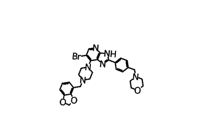 Brc1cnc2[nH]c(-c3ccc(CN4CCOCC4)cc3)nc2c1N1CCN(Cc2cccc3c2OCO3)CC1